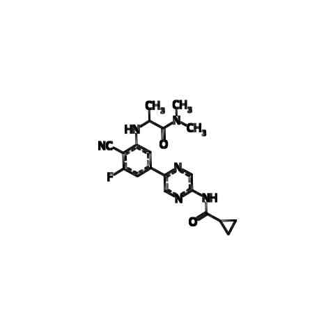 CC(Nc1cc(-c2cnc(NC(=O)C3CC3)cn2)cc(F)c1C#N)C(=O)N(C)C